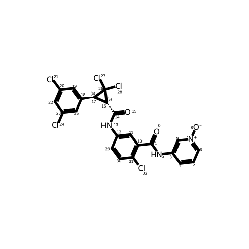 O=C(Nc1ccc[n+]([O-])c1)c1cc(NC(=O)[C@@H]2[C@@H](c3cc(Cl)cc(Cl)c3)C2(Cl)Cl)ccc1Cl